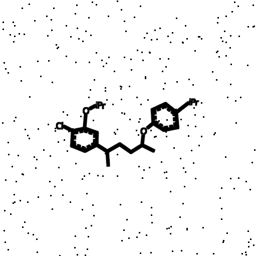 CC(C)Oc1cc(C(C)CCC(C)Oc2ccc(C(C)C)cc2)ccc1Cl